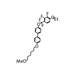 CCOc1ccc(C(F)(F)Oc2ccc(-c3ccc(OCCCCCCOC)cc3)cc2)c(F)c1F